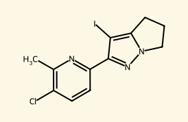 Cc1nc(-c2nn3c(c2I)CCC3)ccc1Cl